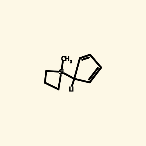 [Li][C]1([Si]2(C)CCC2)C=CC=C1